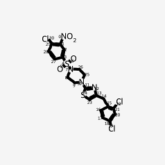 O=[N+]([O-])c1cc(S(=O)(=O)N2CCN(c3nc(Cc4ccc(Cl)cc4Cl)cs3)CC2)ccc1Cl